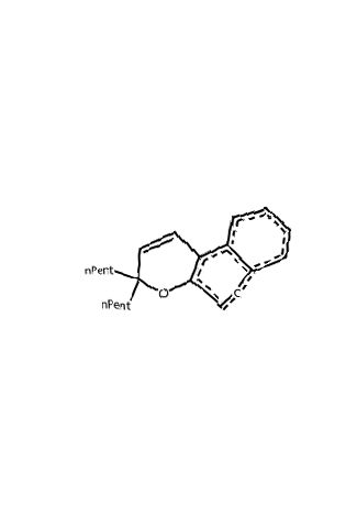 CCCCCC1(CCCCC)C=Cc2c(ccc3ccccc23)O1